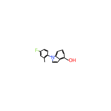 Cc1cc(F)ccc1-n1ccc2c(CO)cccc21